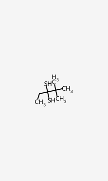 CCC(S)(S)C(C)(C)C